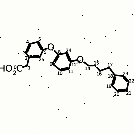 O=C(O)Cc1cccc(Oc2cccc(OCCCCc3ccccc3)c2)c1